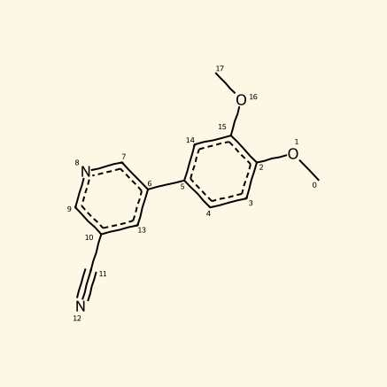 COc1ccc(-c2cncc(C#N)c2)cc1OC